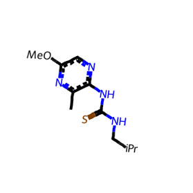 COc1cnc(NC(=S)NCC(C)C)c(C)n1